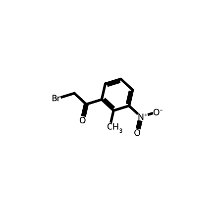 Cc1c(C(=O)CBr)cccc1[N+](=O)[O-]